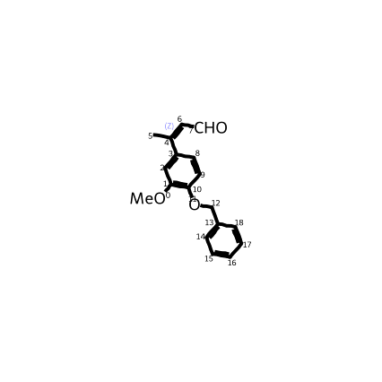 COc1cc(/C(C)=C\C=O)ccc1OCc1ccccc1